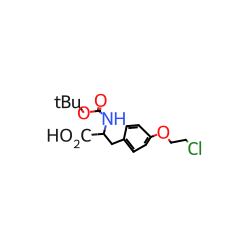 CC(C)(C)OC(=O)NC(Cc1ccc(OCCCl)cc1)C(=O)O